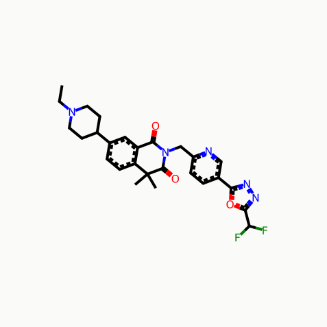 CCN1CCC(c2ccc3c(c2)C(=O)N(Cc2ccc(-c4nnc(C(F)F)o4)cn2)C(=O)C3(C)C)CC1